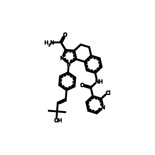 CC(C)(O)C=Cc1ccc(-n2nc(C(N)=O)c3c2-c2cc(NC(=O)c4cccnc4Cl)ccc2CC3)cc1